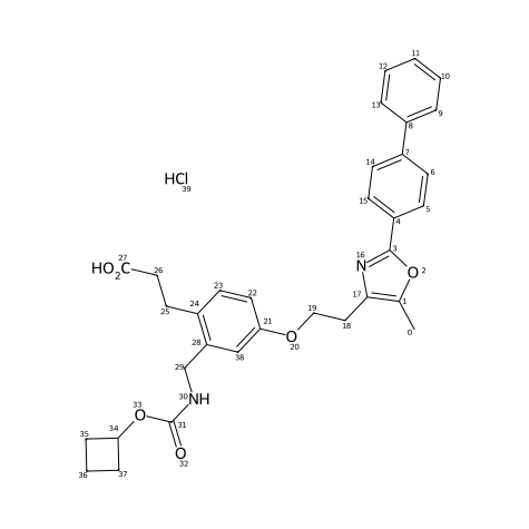 Cc1oc(-c2ccc(-c3ccccc3)cc2)nc1CCOc1ccc(CCC(=O)O)c(CNC(=O)OC2CCC2)c1.Cl